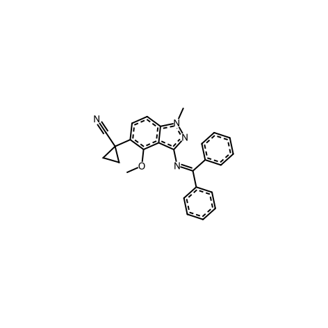 COc1c(C2(C#N)CC2)ccc2c1c(N=C(c1ccccc1)c1ccccc1)nn2C